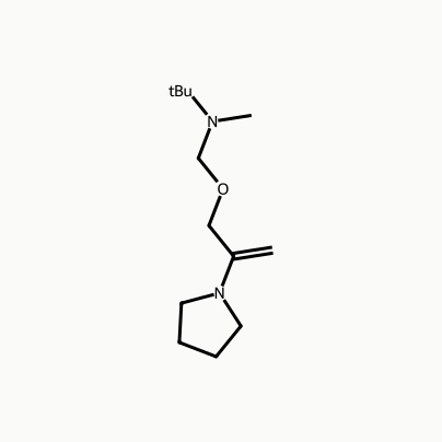 C=C(COCN(C)C(C)(C)C)N1CCCC1